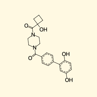 O=C(c1ccc(-c2cc(O)ccc2O)cc1)N1CCN(C(=O)C2(O)CCC2)CC1